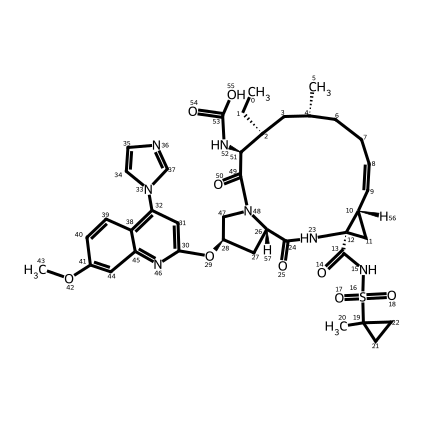 CC[C@@H]1C[C@H](C)CC/C=C\[C@@H]2C[C@@]2(C(=O)NS(=O)(=O)C2(C)CC2)NC(=O)[C@@H]2C[C@@H](Oc3cc(-n4ccnc4)c4ccc(OC)cc4n3)CN2C(=O)[C@H]1NC(=O)O